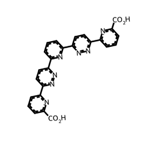 O=C(O)c1cccc(-c2ccc(-c3cccc(-c4ccc(-c5cccc(C(=O)O)n5)nn4)n3)nn2)n1